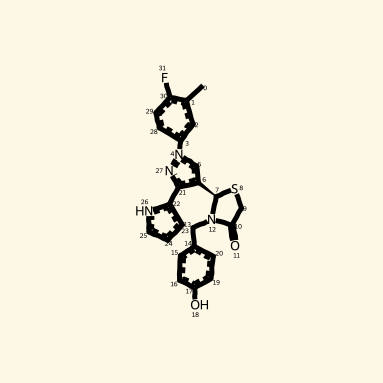 Cc1cc(-n2cc([C@H]3SCC(=O)N3Cc3ccc(O)cc3)c(-c3ccc[nH]3)n2)ccc1F